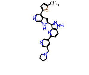 Cc1ccc(-c2cncc3[nH]c(-c4n[nH]c5ccc(-c6cncc(CN7CCCC7)c6)nc45)cc23)s1